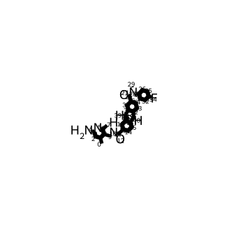 Cc1cc(N)nc(C)c1CNC(=O)c1ccc2c(c1)[C@@H]1O[C@H]2c2ccc(C(=O)N(C)c3ccc(F)cc3)cc21